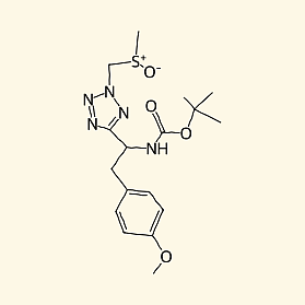 COc1ccc(CC(NC(=O)OC(C)(C)C)c2nnn(C[S+](C)[O-])n2)cc1